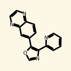 c1ccc(-c2ncoc2-c2ccc3nccnc3c2)nc1